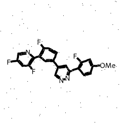 COc1ccc(-c2cc(-c3ccc(F)c(-c4ncc(F)cc4F)c3)cnn2)c(F)c1